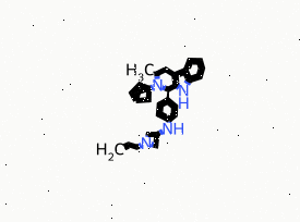 C=CCN1CC(Nc2ccc([C@@H]3c4[nH]c5ccccc5c4C[C@@H](C)N3C34CCC(C3)C4)cc2)C1